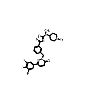 CCN1CCC(N(C)c2nc(-c3cccc(Cn4nc(-c5cc(F)c(F)c(F)c5)ccc4=O)c3)no2)CC1